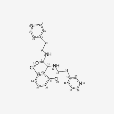 O=C(NCCc1ccncc1)C(NCCc1cccnc1)c1c(Cl)cccc1Cl